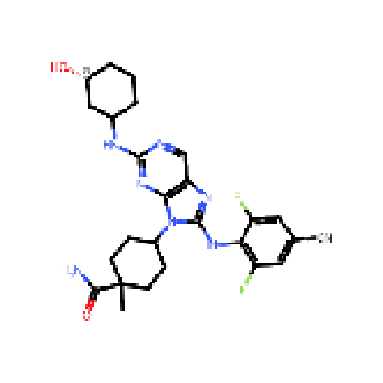 CC1(C(N)=O)CCC(n2c(Nc3c(F)cc(C#N)cc3F)nc3cnc(NC4CCC[C@@H](O)C4)nc32)CC1